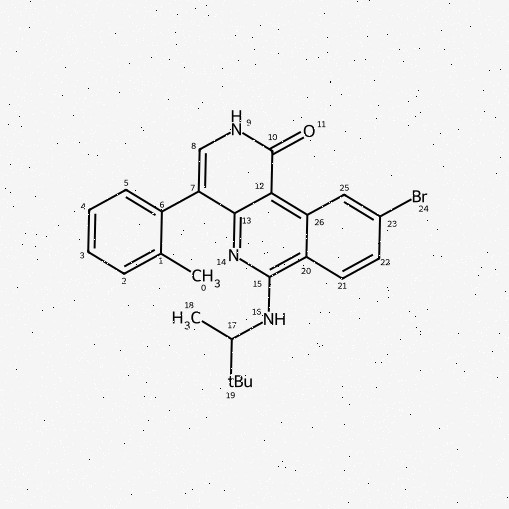 Cc1ccccc1-c1c[nH]c(=O)c2c1nc(NC(C)C(C)(C)C)c1ccc(Br)cc12